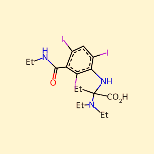 CCNC(=O)c1c(I)cc(I)c(NC(CC)(C(=O)O)N(CC)CC)c1I